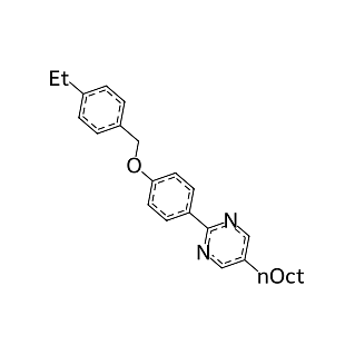 CCCCCCCCc1cnc(-c2ccc(OCc3ccc(CC)cc3)cc2)nc1